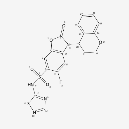 O=c1oc2cc(S(=O)(=O)Nc3ncns3)c(F)cc2n1C1CCOc2ccccc21